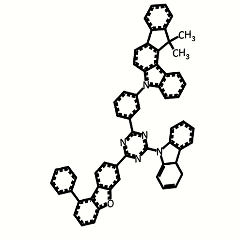 CC1(C)c2ccccc2-c2ccc3c(c21)c1ccccc1n3-c1cccc(-c2nc(-c3ccc4c(c3)oc3cccc(-c5ccccc5)c34)nc(N3C4=CC=CCC4c4ccccc43)n2)c1